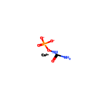 NC(=O)NOP(=O)([O-])[O-].[Ca+2]